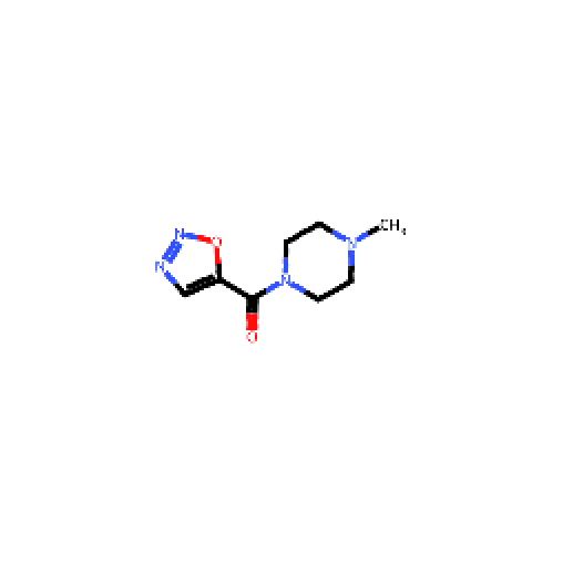 CN1CCN(C(=O)c2cnno2)CC1